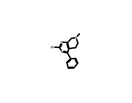 CC(C)c1nc2c(c(-c3ccccc3)n1)CCN(C)C2